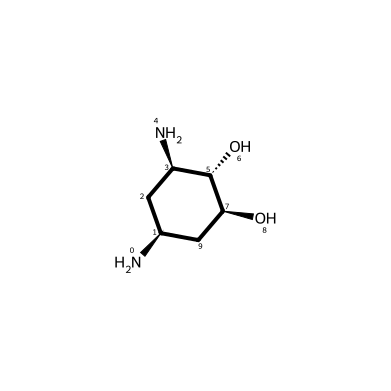 N[C@H]1C[C@@H](N)[C@H](O)[C@@H](O)C1